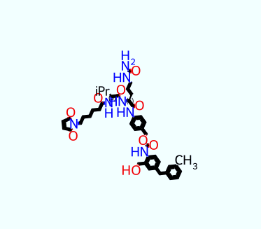 Cc1cccc(Cc2ccc(NC(=O)OCc3ccc(NC(=O)[C@H](CCCNC(N)=O)NC(=O)[C@@H](NC(=O)CCCCCN4C(=O)C=CC4=O)C(C)C)cc3)c(CO)c2)c1